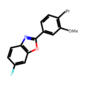 COc1cc(-c2nc3ccc(F)cc3o2)ccc1C(C)C